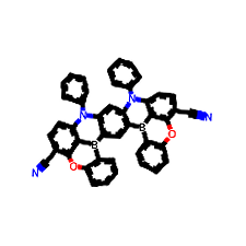 N#Cc1ccc2c3c1Oc1ccccc1B3c1cc3c(cc1N2c1ccccc1)N(c1ccccc1)c1ccc(C#N)c2c1B3c1ccccc1O2